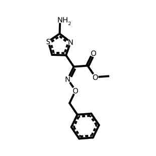 COC(=O)C(=NOCc1ccccc1)c1csc(N)n1